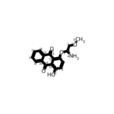 COCC(N)Oc1ccc(O)c2c1C(=O)c1ccccc1C2=O